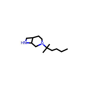 CCCCC(C)(C)N1CCC2CNC2C1